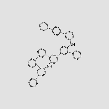 c1ccc(-c2ccc(-c3cccc(Nc4ccc(-c5ccc6c(c5)-c5cccc(c5)-c5ccccc5-c5cc(-c7ccccc7)ccc5N6)cc4-c4ccccc4)c3)cc2)cc1